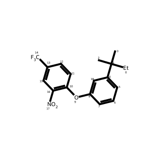 CCC(C)(C)c1cccc(Oc2ccc(C(F)(F)F)cc2[N+](=O)[O-])c1